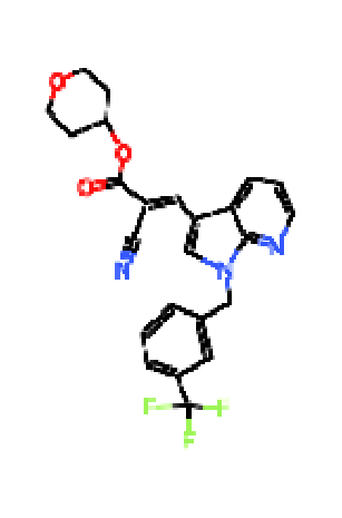 N#C/C(=C\c1cn(Cc2cccc(C(F)(F)F)c2)c2ncccc12)C(=O)OC1CCOCC1